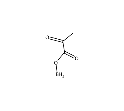 BOC(=O)C(C)=O